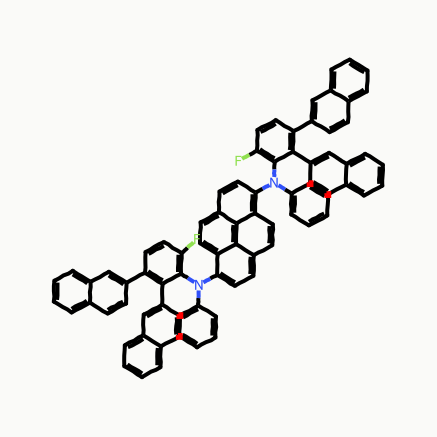 Fc1ccc(-c2ccc3ccccc3c2)c(-c2ccc3ccccc3c2)c1N(c1ccccc1)c1ccc2ccc3c(N(c4ccccc4)c4c(F)ccc(-c5ccc6ccccc6c5)c4-c4ccc5ccccc5c4)ccc4ccc1c2c43